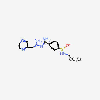 CCOC(=O)CN[S+]([O-])c1ccc(/C(N)=N/N(N)Cc2cnccn2)cc1